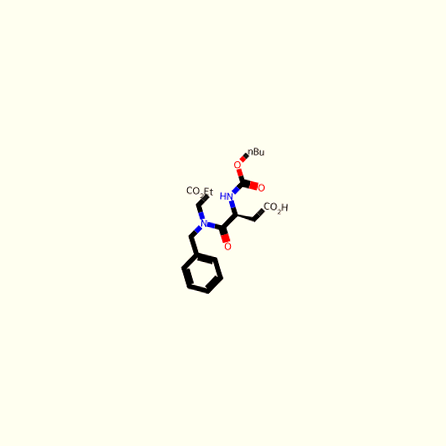 CCCCOC(=O)N[C@@H](CC(=O)O)C(=O)N(CC(=O)OCC)Cc1ccccc1